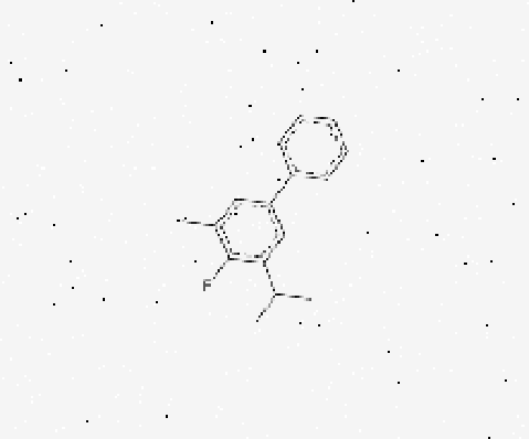 Cc1cc(-c2ccccc2)cc(C(C)C)c1F